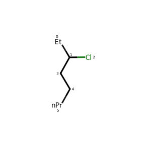 [CH2]CC(Cl)CCCCC